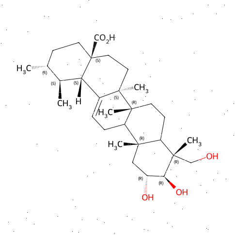 C[C@H]1[C@H](C)CC[C@]2(C(=O)O)CC[C@]3(C)C(=CCC4[C@@]5(C)C[C@@H](O)[C@H](O)[C@@](C)(CO)C5CC[C@]43C)[C@H]12